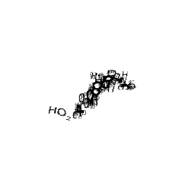 CC(C)C1=C2[C@H]3CC[C@@H]4[C@@]5(C)CC[C@H](OC(=O)[C@H]6C[C@@H](C(=O)O)C6(C)C)C(C)(C)[C@@H]5CC[C@@]4(C)[C@]3(C)CC[C@@]2(NC(=O)C(C)(C)NC(=O)C2COC2)CC1=O